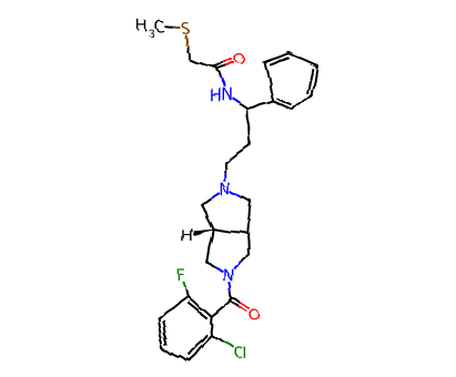 CSCC(=O)NC(CCN1CC2CN(C(=O)c3c(F)cccc3Cl)C[C@@H]2C1)c1ccccc1